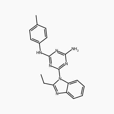 CCc1nc2ccccc2n1-c1nc(N)nc(Nc2ccc(C)cc2)n1